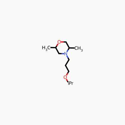 CC(C)OCCCN1CC(C)OCC1C